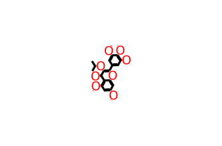 COc1cc(OC)c2c(=O)c(OC(C)C)c(-c3cc(OC)c(OC)c(OC)c3)oc2c1